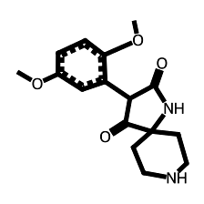 COc1ccc(OC)c(C2C(=O)NC3(CCNCC3)C2=O)c1